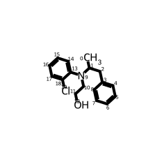 CC(Cc1ccccc1)N(CCO)c1ccccc1Cl